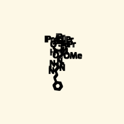 CO[C@@H]1[C@@H]2O[Si](C(C)C)(C(C)C)O[Si](C(C)C)(C(C)C)OC[C@H]2O[C@H]1n1cnc2c(C=Cc3ccccc3)ncnc21